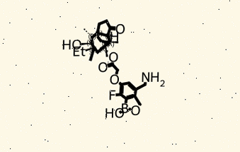 CC[C@]1(C)C[C@@H](OC(=O)COc2cc(CN)c3c(c2F)B(O)OC3)[C@]2(C)[C@H](C)CC[C@]3(CCC(=O)[C@H]32)[C@@H](C)[C@@H]1O